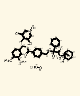 COc1ccc([C@H](Cc2c(Cl)c[n+](O)cc2Cl)OC(=O)c2ccc(CNC(C)(C(=O)O[C@H]3CN4CCC3CC4)c3ccccc3)cc2)cc1OC.O=C[O-]